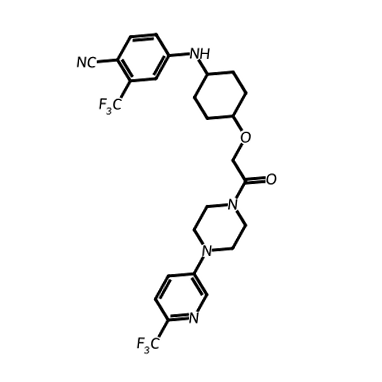 N#Cc1ccc(NC2CCC(OCC(=O)N3CCN(c4ccc(C(F)(F)F)nc4)CC3)CC2)cc1C(F)(F)F